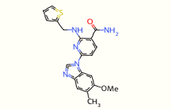 COc1cc2c(cc1C)ncn2-c1ccc(C(N)=O)c(NCc2cccs2)n1